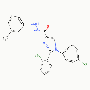 O=C(NNc1cccc(C(F)(F)F)c1)c1cn(-c2ccc(Cl)cc2)c(-c2ccccc2Cl)n1